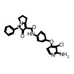 Nc1nccc(Oc2ccc(NC(=O)c3c4n(n(-c5ccccc5)c3=O)CCC4)cc2)c1Cl